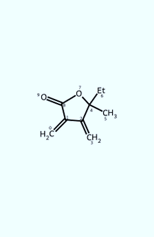 C=C1C(=C)C(C)(CC)OC1=O